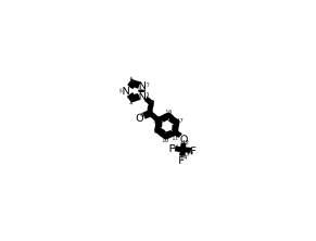 O=C(Cn1cncn1)c1ccc(OC(F)(F)F)cc1